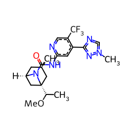 COC(C)[C@]12C[C@H](C)C[C@H](C1)N2C(=O)Nc1cc(-c2ncn(C)n2)c(C(F)(F)F)cn1